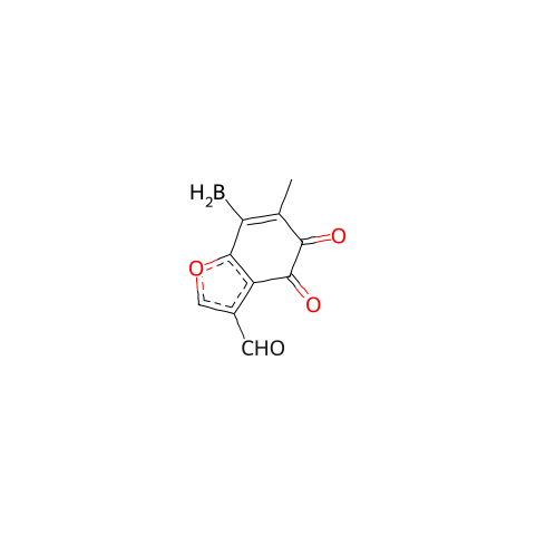 BC1=C(C)C(=O)C(=O)c2c(C=O)coc21